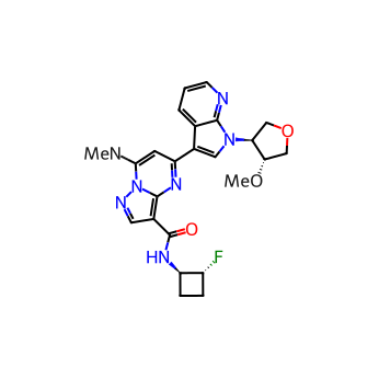 CNc1cc(-c2cn([C@H]3COC[C@@H]3OC)c3ncccc23)nc2c(C(=O)N[C@@H]3CC[C@H]3F)cnn12